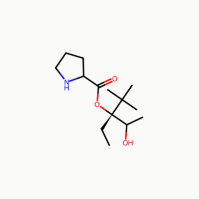 CC[C@](OC(=O)C1CCCN1)(C(C)O)C(C)(C)C